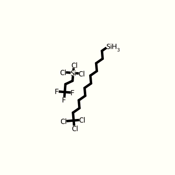 FC(F)(F)CC[Si](Cl)(Cl)Cl.[SiH3]CCCCCCCCCCCC(Cl)(Cl)Cl